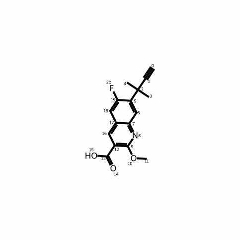 C#CC(C)(C)c1cc2nc(OC)c(C(=O)O)cc2cc1F